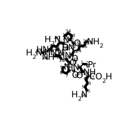 CC(C)C[C@H](NC(=O)[C@@H]1CCCN1C(=O)[C@H](Cc1c[nH]cn1)NC(=O)[C@H](CCCCN)NC(=O)[C@@H]1CCCN1C(=O)[C@@H](N)CCCNC(=N)N)C(=O)N[C@@H](CCCCN)C(=O)O